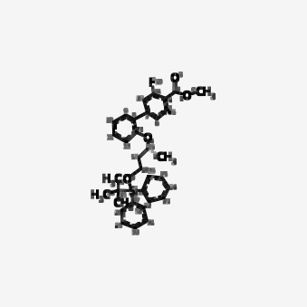 COC(=O)c1ncc(-c2ccccc2O[C@H](C)CCO[Si](c2ccccc2)(c2ccccc2)C(C)(C)C)cc1F